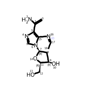 C=C(N)c1ncn([C@H]2C[C@@H](O)[C@@H](CO)O2)c1/N=C\C